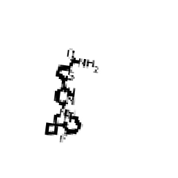 NC(=O)c1ccc(-c2ccc(NCC3(c4ncccc4F)CCC3)nn2)s1